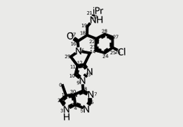 Cc1c[nH]c2ncnc(-n3cc4c(n3)CN(C(=O)C(CNC(C)C)c3ccc(Cl)cc3)C4)c12